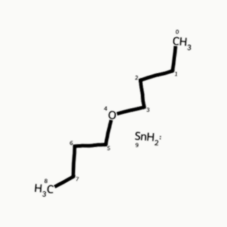 CCCCOCCCC.[SnH2]